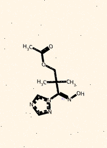 CC(=O)OCC(C)(C)/C(=N\O)n1cncn1